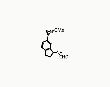 CON1C=C1c1ccc2c(c1)C(NC=O)CC2